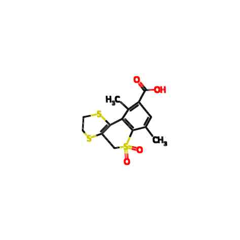 Cc1cc(C(=O)O)c(C)c2c1S(=O)(=O)CC1=C2SCCS1